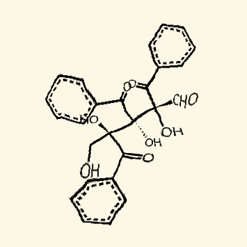 O=C[C@](O)(C(=O)c1ccccc1)[C@](O)(C(=O)c1ccccc1)[C@@](O)(CO)C(=O)c1ccccc1